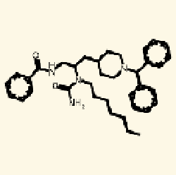 CCCCCCCN(C(N)=O)C(CNC(=O)c1ccccc1)CC1CCN(C(c2ccccc2)c2ccccc2)CC1